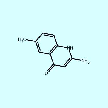 Cc1ccc2[nH]c(N)cc(=O)c2c1